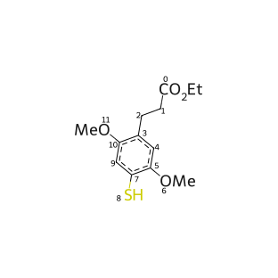 CCOC(=O)CCc1cc(OC)c(S)cc1OC